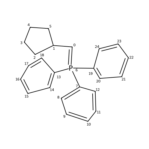 C(C1CCCC1)=P(c1ccccc1)(c1ccccc1)c1ccccc1